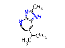 Cc1nc2c([nH]1)C=C(C(C)C)C=C=N2